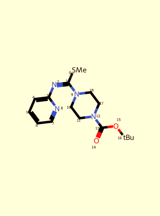 CSC(=Nc1ccccn1)N1CCN(C(=O)OC(C)(C)C)CC1